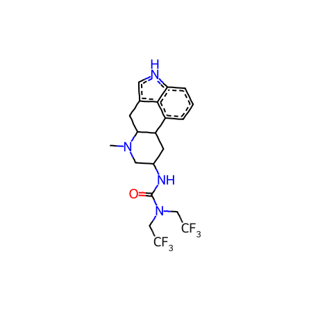 CN1CC(NC(=O)N(CC(F)(F)F)CC(F)(F)F)CC2c3cccc4[nH]cc(c34)CC21